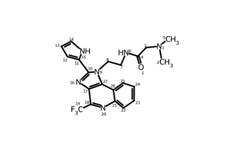 CN(C)CC(=O)NCCn1c(-c2ccc[nH]2)nc2c(C(F)(F)F)nc3ccccc3c21